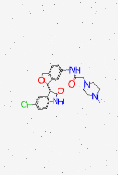 CN1CCN(CC(=O)Nc2ccc3c(c2)C(=C2C(=O)Nc4ccc(Cl)cc42)OC3)CC1